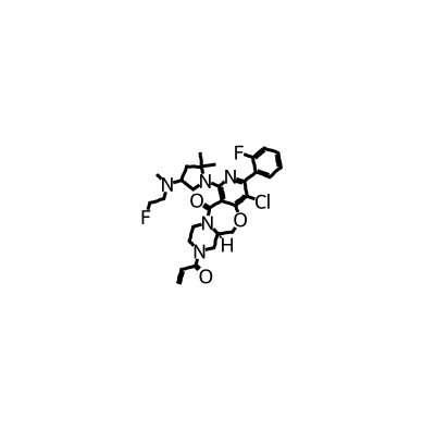 C=CC(=O)N1CCN2C(=O)c3c(N4CC(N(C)CCF)CC4(C)C)nc(-c4ccccc4F)c(Cl)c3OC[C@H]2C1